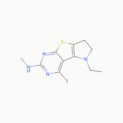 CCN1CCc2sc3nc(NC)nc(I)c3c21